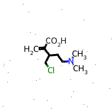 C=C(C(=O)O)C(CCl)CCN(C)C